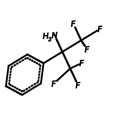 NC(c1ccccc1)(C(F)(F)F)C(F)(F)F